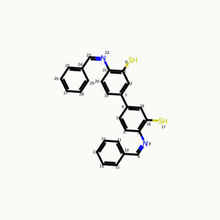 Sc1cc(-c2ccc(/N=C\c3ccccc3)c(S)c2)ccc1/N=C\c1ccccc1